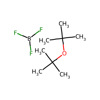 CC(C)(C)OC(C)(C)C.FB(F)F